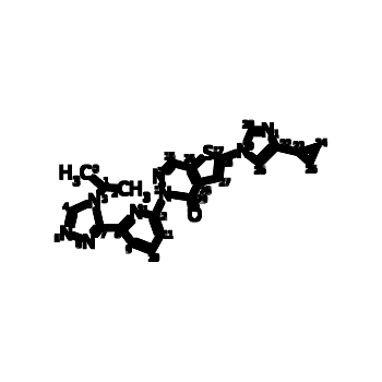 CC(C)n1cnnc1-c1cccc(-n2ncc3sc(-n4cnc(C5CC5)c4)cc3c2=O)n1